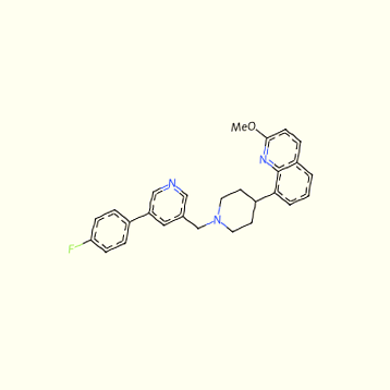 COc1ccc2cccc(C3CCN(Cc4cncc(-c5ccc(F)cc5)c4)CC3)c2n1